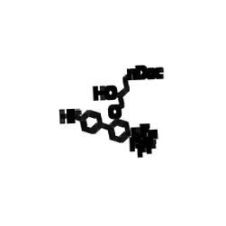 CCCCCCCCCCCCC(O)COc1ccccc1-c1ccc([IH+])cc1.[F][Sb-]([F])([F])([F])([F])[F]